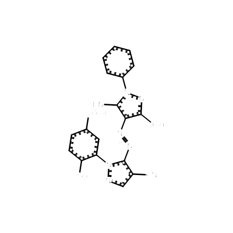 CC(C)(C)c1nn(-c2ccccc2)c(N)c1/N=N/c1c(C#N)cnn1-c1cc(S(=O)(=O)O)ccc1S(=O)(=O)O